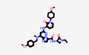 CCN1C[C@@H](NC(=O)c2cnc3c(N(C)Cc4ccc(OC)cc4)cc(Nc4cccn(C5CCC(OC)CC5)c4=O)nn23)C1=O